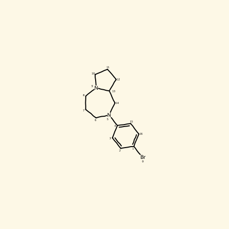 Brc1ccc(N2CCCN3CCCC3C2)cc1